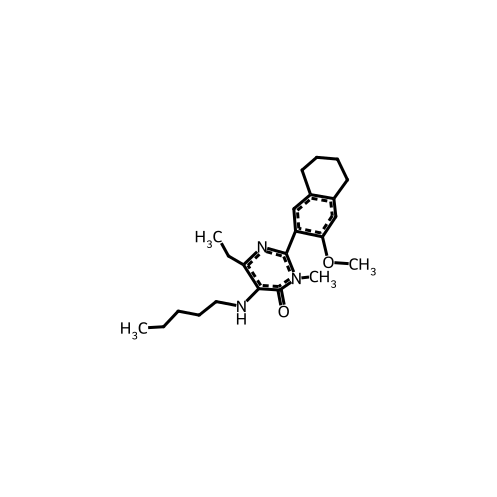 CCCCCNc1c(CC)nc(-c2cc3c(cc2OC)CCCC3)n(C)c1=O